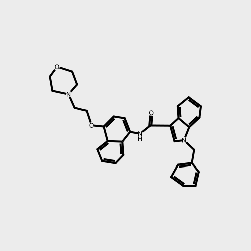 O=C(Nc1ccc(OCCN2CCOCC2)c2ccccc12)c1cn(Cc2ccccc2)c2ccccc12